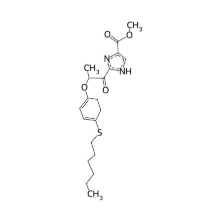 CCCCCCSC1=CC=C(OC(C)C(=O)c2nc(C(=O)OC)c[nH]2)CC1